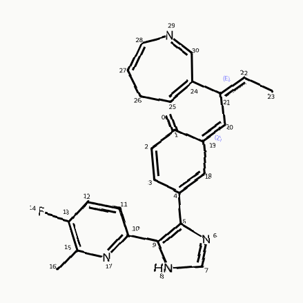 C=c1ccc(-c2nc[nH]c2-c2ccc(F)c(C)n2)c/c1=C/C(=C\C)C1=CCC=CN=C1